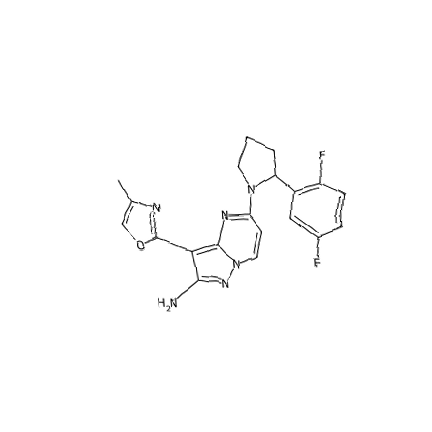 Cc1coc(-c2c(N)nn3ccc(N4CCCC4c4cc(F)ccc4F)nc23)n1